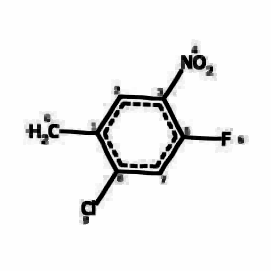 [CH2]c1cc([N+](=O)[O-])c(F)cc1Cl